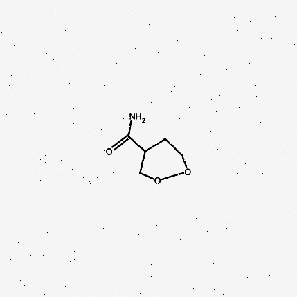 NC(=O)C1CCOOC1